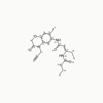 C#CCN1C(=O)COc2cc(F)c(NC(=O)C=C(CC)NC(=O)OCC)cc21